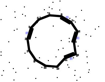 [CH]1C/C=C\CC\C=C/C=C/C=C/CC1